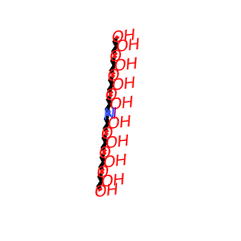 OCC(O)COCC(O)COCC(O)COCC(O)CN(I)CC(O)COCC(O)COCC(O)COCC(O)CO